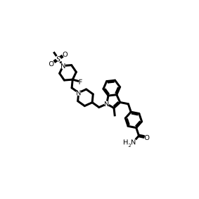 Cc1c(Cc2ccc(C(N)=O)cc2)c2ccccc2n1CC1CCN(CC2(F)CCN(S(C)(=O)=O)CC2)CC1